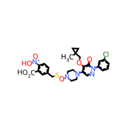 CC1(COc2c(N3CCN(OSCc4ccc([N+](=O)O)c(C(=O)O)c4)CC3)cnn(-c3cccc(Cl)c3)c2=O)CC1